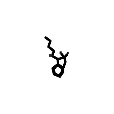 CCCCNC1c2ccccc2CC1(F)F